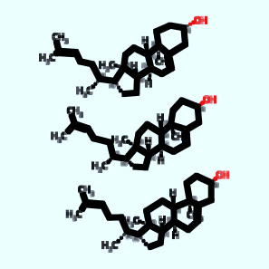 CC(C)=CCC[C@@H](C)[C@H]1CC[C@H]2[C@@H]3CC=C4C[C@@H](O)CC[C@]4(C)[C@H]3CC[C@]12C.CC(C)=CCC[C@@H](C)[C@H]1CC[C@H]2[C@@H]3CC=C4C[C@@H](O)CC[C@]4(C)[C@H]3CC[C@]12C.CC(C)=CCC[C@@H](C)[C@H]1CC[C@H]2[C@@H]3CC=C4C[C@@H](O)CC[C@]4(C)[C@H]3CC[C@]12C